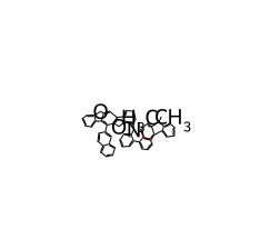 CC1(C)c2ccccc2-c2ccc(N(c3ccccc3-c3ccccc3)c3cccc4c3oc3c(-c5ccc6ccccc6c5)c5c(cc34)oc3ccccc35)cc21